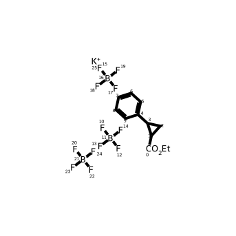 CCOC(=O)C1CC1c1ccccc1.F[B-](F)(F)F.F[B-](F)(F)F.F[B-](F)(F)F.[K+]